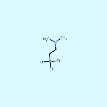 CC[Si](CC)(CC)CCN(C)C